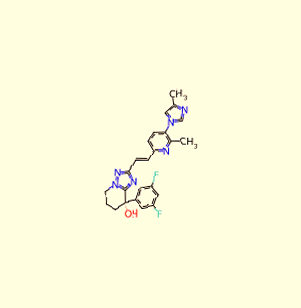 Cc1cn(-c2ccc(/C=C/c3nc4n(n3)CCC[C@]4(O)c3cc(F)cc(F)c3)nc2C)cn1